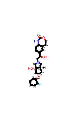 O=C1Nc2ccc(C(O)CN3C[C@H]4C[C@H](Oc5ccccc5F)C[C@@]4(O)C3)cc2CCO1